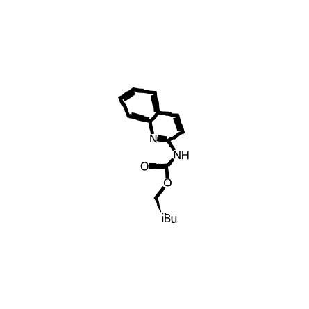 CC[C@H](C)COC(=O)Nc1ccc2ccccc2n1